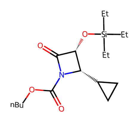 CCCCOC(=O)N1C(=O)[C@H](O[Si](CC)(CC)CC)[C@@H]1C1CC1